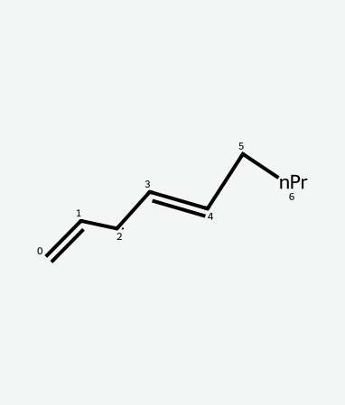 C=C[CH]/C=C/CCCC